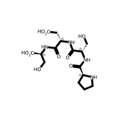 O=C(O)C[C@H](NC(=O)[C@H](CO)NC(=O)[C@@H]1CCCN1)C(=O)N[C@@H](CO)C(=O)O